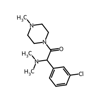 CN1CCN(C(=O)C(c2cccc(Cl)c2)N(C)C)CC1